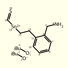 CCC(C)[O-].CCC(C)[O-].NCc1ccccc1C[CH2][Sn+2][CH]=S